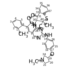 Cc1ccccc1-c1cc2cnc(Nc3ccc(OC4CCN(C)C4)cc3)nc2n(C2C(=O)c3ccccc3SC2(C)C)c1=O